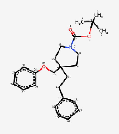 CC(C)(C)OC(=O)N1CCC(CCc2ccccc2)(COc2ccccc2)CC1